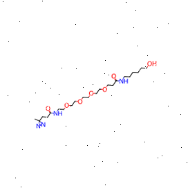 CC1(CCC(=O)NCCOCCOCCOCCOCCC(=O)NCCCCCCO)N=N1